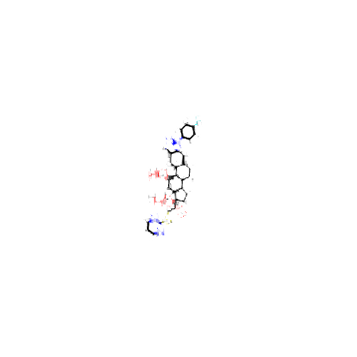 CC12Cc3cnn(-c4ccc(F)cc4)c3C=C1CCC1C2[C@@H](O)CC2(C)C1CC[C@]2(O)C(=O)CSc1ncccn1